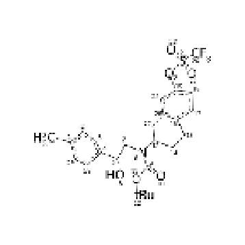 Cc1ccc([C@@H](O)CN(C(=O)OC(C)(C)C)C2CCc3ccc(OS(=O)(=O)C(F)(F)F)cc3C2)cc1